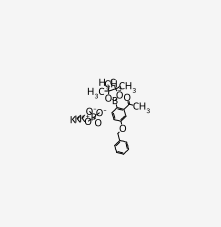 CC(=O)c1cc(OCc2ccccc2)ccc1B1OC(C)(C)C(C)(C)O1.O=P([O-])([O-])[O-].[K+].[K+].[K+]